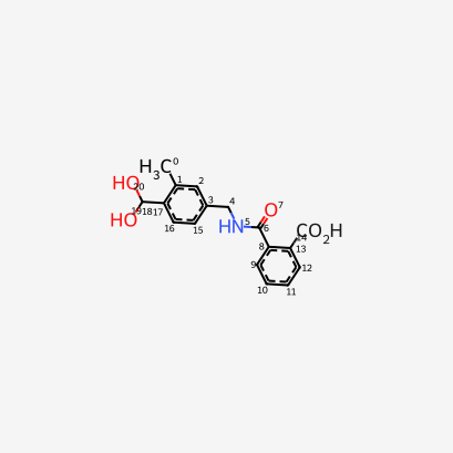 Cc1cc(CNC(=O)c2ccccc2C(=O)O)ccc1C(O)O